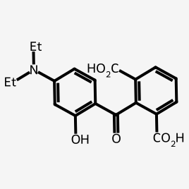 CCN(CC)c1ccc(C(=O)c2c(C(=O)O)cccc2C(=O)O)c(O)c1